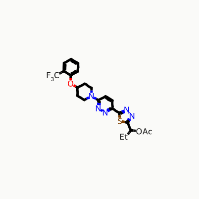 CCC(OC(C)=O)c1nnc(-c2ccc(N3CCC(Oc4ccccc4C(F)(F)F)CC3)nn2)s1